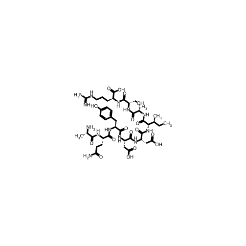 CC[C@H](C)[C@H](NC(=O)[C@H](CC(=O)O)NC(=O)[C@H](CC(=O)O)NC(=O)[C@H](Cc1ccc(O)cc1)NC(=O)[C@H](CCC(N)=O)NC(=O)[C@H](C)N)C(=O)N[C@@H](C)C(=O)N[C@@H](CO)C(=O)N[C@@H](CCCNC(=N)N)C(=O)O